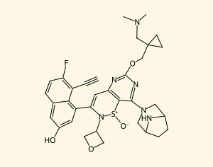 C#Cc1c(F)ccc2cc(O)cc(C3=Cc4nc(OCC5(CN(C)C)CC5)nc(N5CC6CCC(C5)N6)c4[S+]([O-])N3C3COC3)c12